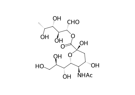 CC(=O)N[C@H]1[C@H]([C@H](O)[C@H](O)CO)O[C@](O)(C(=O)O[C@@H](C=O)[C@@H](O)[C@@H](O)[C@@H](C)O)C[C@@H]1O